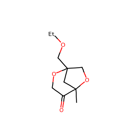 CCOCC12COC(C)(C1)C(=O)CO2